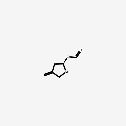 C=C1CN[C@H](OC=O)C1